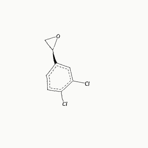 Clc1ccc([C@H]2CO2)cc1Cl